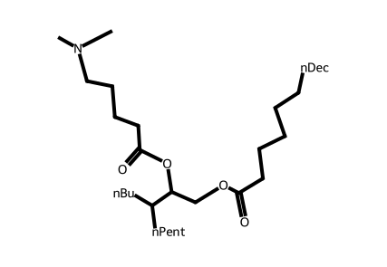 CCCCCCCCCCCCCCCC(=O)OCC(OC(=O)CCCCN(C)C)C(CCCC)CCCCC